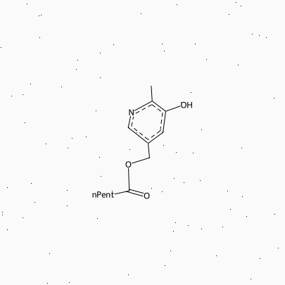 CCCCCC(=O)OCc1cnc(C)c(O)c1